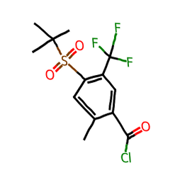 Cc1cc(S(=O)(=O)C(C)(C)C)c(C(F)(F)F)cc1C(=O)Cl